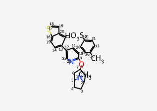 CN1C2CCC1CC(Oc1ccc(-c3ccc4sccc4c3)cn1)C2.Cc1ccc(S(=O)(=O)O)cc1